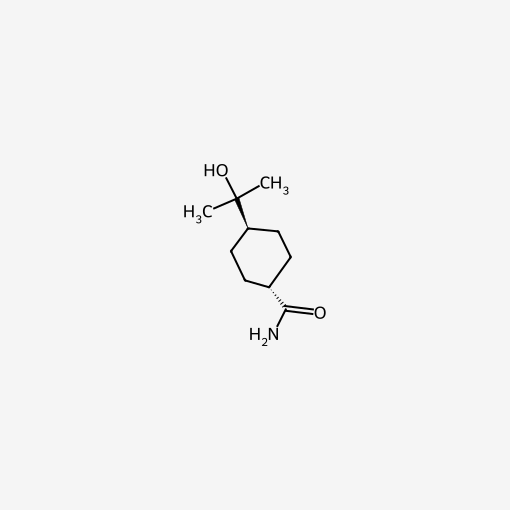 CC(C)(O)[C@H]1CC[C@H](C(N)=O)CC1